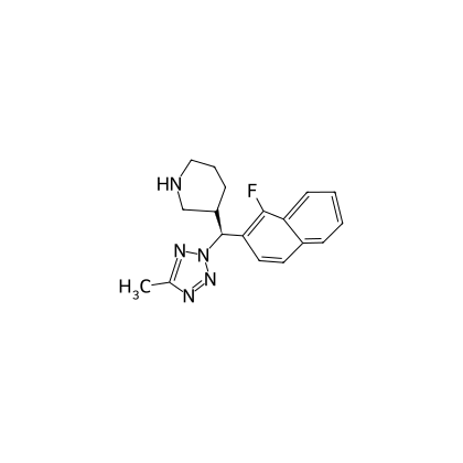 Cc1nnn([C@H](c2ccc3ccccc3c2F)C2CCCNC2)n1